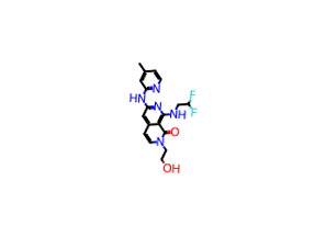 Cc1ccnc(Nc2cc3ccn(CCO)c(=O)c3c(NCC(F)F)n2)c1